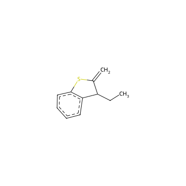 C=C1Sc2ccccc2C1CC